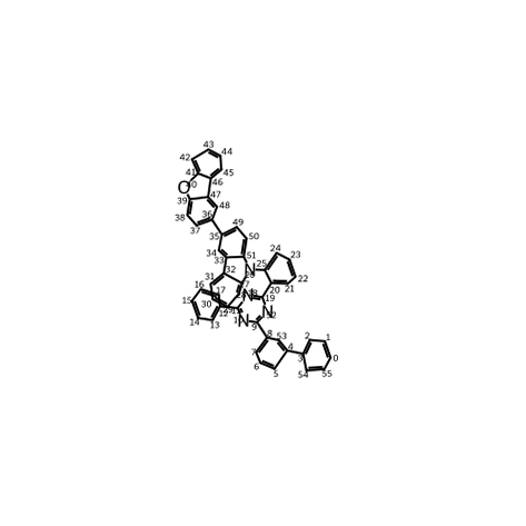 c1ccc(-c2cccc(-c3nc(-c4ccccc4)nc(-c4ccccc4-n4c5ccccc5c5cc(-c6ccc7oc8ccccc8c7c6)ccc54)n3)c2)cc1